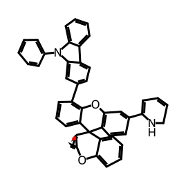 C1=CCNC(c2ccc3c(c2)Oc2c(-c4ccc5c6ccccc6n(-c6ccccc6)c5c4)cccc2C32c3ccccc3Oc3ccccc32)=C1